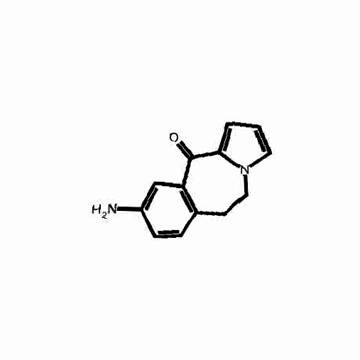 Nc1ccc2c(c1)C(=O)c1cccn1CC2